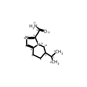 CC(C)C1CCc2cnc(C(N)=O)n2C1